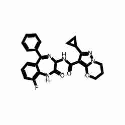 O=C(NC1N=C(c2ccccc2)c2cccc(F)c2NC1=O)c1c(C2CC2)nn2c1OCCC2